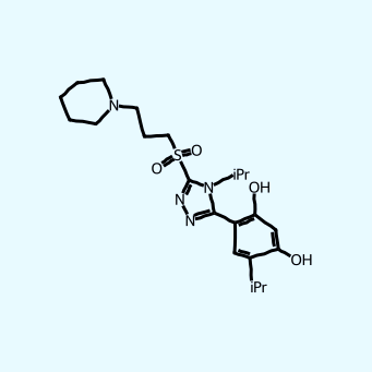 CC(C)c1cc(-c2nnc(S(=O)(=O)CCCN3CCCCC3)n2C(C)C)c(O)cc1O